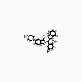 O=C1c2cc(N3CCNCC3)ccc2CN1[C@@H](c1cc2ccccc2[nH]1)c1cc(F)ccc1O